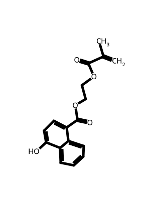 C=C(C)C(=O)OCCOC(=O)c1ccc(O)c2ccccc12